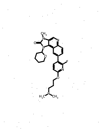 CN(C)CCCOc1ccc(-c2ccc3ncc4c(c3c2)n(C2CCCCO2)c(=O)n4C)c(F)n1